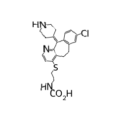 O=C(O)NCCSc1ccnc2c1CCc1cc(Cl)ccc1C2=C1CCNCC1